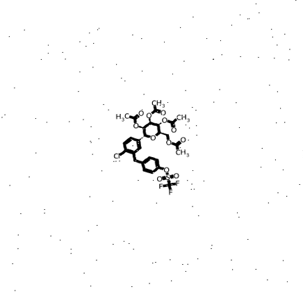 CC(=O)OC[C@H]1O[C@H](c2ccc(Cl)c(Cc3ccc(OS(=O)(=O)C(F)(F)F)cc3)c2)[C@@H](OC(C)=O)[C@@H](OC(C)=O)[C@@H]1OC(C)=O